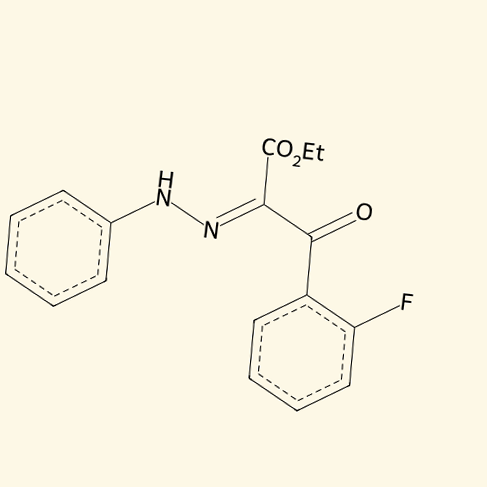 CCOC(=O)/C(=N\Nc1ccccc1)C(=O)c1ccccc1F